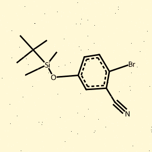 CC(C)(C)[Si](C)(C)Oc1ccc(Br)c(C#N)c1